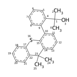 CC(C)(O)c1ccccc1-c1cccc2c1Sc1ccccc1C2(C)C